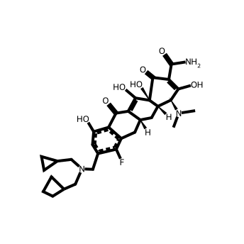 CN(C)[C@@H]1C(O)=C(C(N)=O)C(=O)[C@@]2(O)C(O)=C3C(=O)c4c(O)cc(CN(CC5CCC5)CC5CC5)c(F)c4C[C@H]3C[C@@H]12